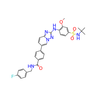 COc1cc(S(=O)(=O)NC(C)(C)C)ccc1Nc1nc2ccc(-c3ccc(C(=O)NCc4ccc(F)cc4)cc3)cn2n1